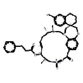 C[C@@H]1C/[SH](=O)=N\C(=O)c2ccc3c(c2)N(C[C@H](C)[C@@H](C)C/C=C/[C@@H]1OC(=O)CCc1ccccc1)C[C@@]1(CCCc2cc(Cl)ccc21)CO3